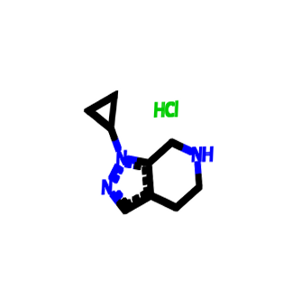 Cl.c1nn(C2CC2)c2c1CCNC2